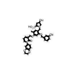 Cc1cc(CN2CC(O)CC2C(=O)O)c(OCc2cccc(C#N)c2)cc1OCc1cccn(-c2ccc3c(c2)OCCO3)c1=O